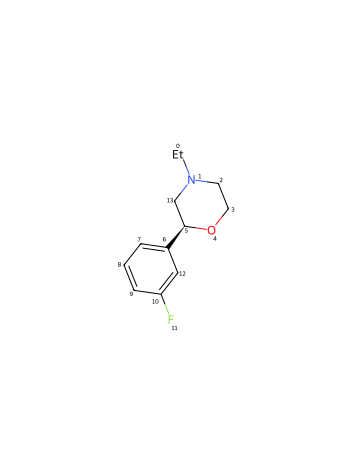 CCN1CCO[C@@H](c2cccc(F)c2)C1